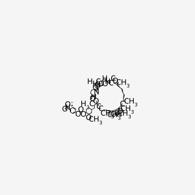 CO[C@H]1C[C@@H]2CC[C@@H](C)[C@@](O)(O2)C(=O)C(=O)N2CCCC[C@H]2C(=O)O[C@H]([C@H](C)C[C@@H]2CC[C@@H](OC(=O)Oc3ccc([N+](=O)[O-])cc3)[C@H](OC)C2)CC[C@H](C)/C=C(\C)[C@@H](O)[C@@H](OC)C(=O)[C@H](C)C[C@H](C)/C=C/C=C/C=C/1C